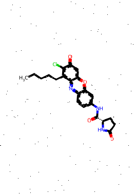 CCCCCc1c2nc3ccc(NC(=O)[C@@H]4CCC(=O)N4)cc3oc-2cc(=O)c1Cl